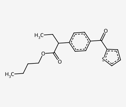 CCCCOC(=O)C(CC)c1ccc(C(=O)c2cccs2)cc1